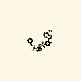 Cc1ccc(S(=O)(=O)NC23CC(CN(C(=O)OCc4ccccc4)C2)C3)cc1-c1cnc2c(N)ncnn12